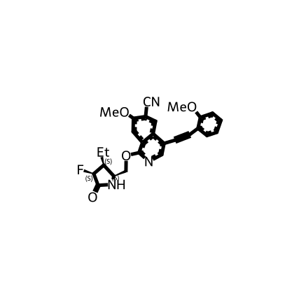 CC[C@@H]1[C@H](F)C(=O)N[C@@H]1COc1ncc(C#Cc2ccccc2OC)c2cc(C#N)c(OC)cc12